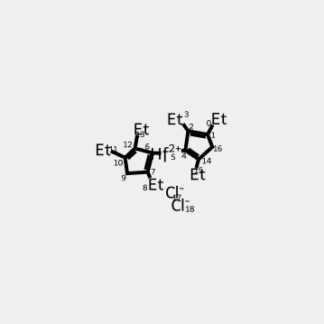 CCC1=C(CC)[C]([Hf+2][C]2=C(CC)CC(CC)=C2CC)=C(CC)C1.[Cl-].[Cl-]